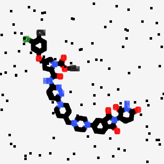 CC(C)(C)OC(=O)N1CC(Oc2ccc(C#N)c(Cl)c2)CC1C(=O)Nc1ccc(N2CCC(CN3CCN(c4ccc5c(c4)C(=O)N(C4CCC(=O)NC4=O)C5=O)CC3)CC2)nn1